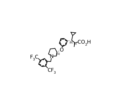 C[C@H](C(=O)O)[C@H](c1cccc(O[C@H]2CCCN(Cc3cc(C(F)(F)F)ccc3C(F)(F)F)C2)c1)C1CC1